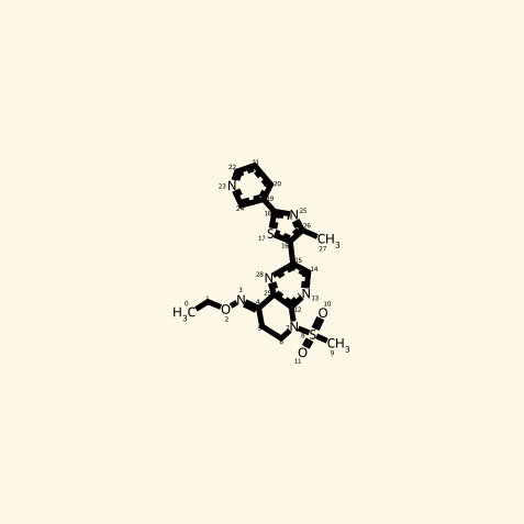 CCO/N=C1\CCN(S(C)(=O)=O)c2ncc(-c3sc(-c4cccnc4)nc3C)nc21